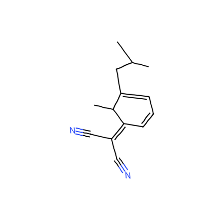 CC(C)CC1=CC=CC(=C(C#N)C#N)C1C